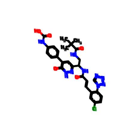 CC(C)(C)C(=O)NCC(NC(=O)C=Cc1cc(Cl)ccc1-n1cnnn1)c1cc(-c2ccc(NC(=O)O)cc2)c(=O)[nH]n1